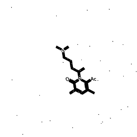 CC(=O)c1c(C)cc(C)c(=O)n1C(C)CCCN(C)C